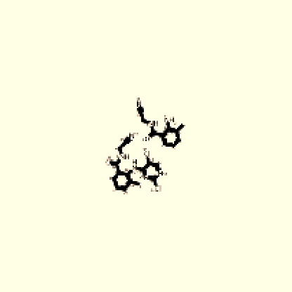 Cc1cccc(C(=O)NCC#N)c1N.Cc1cccc(C(=O)NCC#N)c1Nc1nc(Cl)ncc1Cl